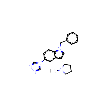 CN1CCC[C@H]1c1cn(Cc2ccccc2)c2ccc(-n3cnnc3)cc12